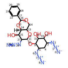 [N-]=[N+]=NC1CC(N=[N+]=[N-])[C@@H](O[C@H]2OC3COC(c4ccccc4)O[C@H]3C(O)C2N=[N+]=[N-])C(O)C1O